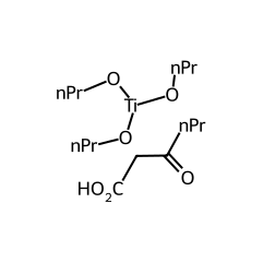 CCCC(=O)CC(=O)O.CCC[O][Ti]([O]CCC)[O]CCC